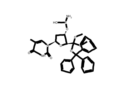 COC(OC)(OC(c1ccccc1)(c1ccccc1)c1ccccc1)[C@H]1O[C@@H](n2cc(C)c(=O)[nH]c2=O)C[C@@H]1OP(N)O